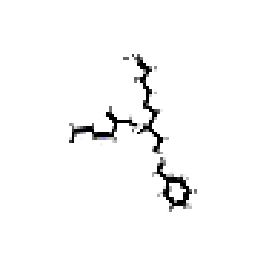 C=C(/C=C\C=C/C)CSC(CCCCC=N)CCSCc1ccccc1